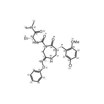 CC[C@@H](NC(=O)N1C/C(=N/Oc2ccccc2)NC[C@@H](Cc2cc(Cl)ccc2OC)C1=O)C(=O)N(C)C